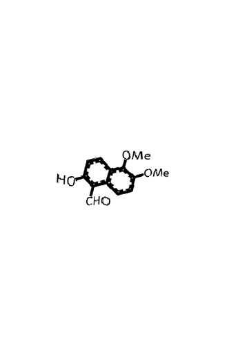 COc1ccc2c(C=O)c(O)ccc2c1OC